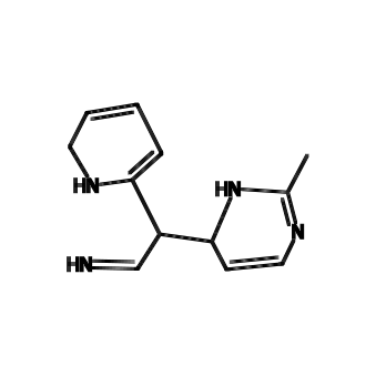 CC1=NC=CC(C(C=N)C2=CC=CCN2)N1